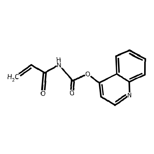 C=CC(=O)NC(=O)Oc1ccnc2ccccc12